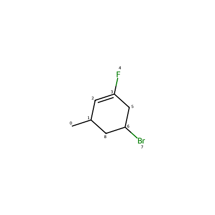 CC1C=C(F)CC(Br)C1